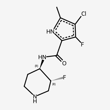 Cc1[nH]c(C(=O)N[C@@H]2CCNC[C@H]2F)c(F)c1Cl